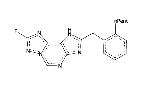 CCCCCc1ccccc1Cc1nc2ncn3nc(F)nc3c2[nH]1